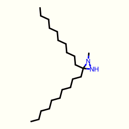 CCCCCCCCCCC1(CCCCCCCCCC)NN1C